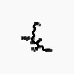 CSCC[C@@H](N)C(=O)N[C@@H](CCCCN)C(=O)O